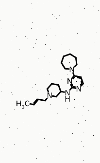 CC=CCN1CCCC(Nc2nccc(N3CCCCCC3)n2)C1